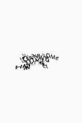 CCCc1nc2c(n1Cc1ccc(-c3ccccc3-c3nnn[nH]3)cc1)CN(CC)CN2CC(=O)OC